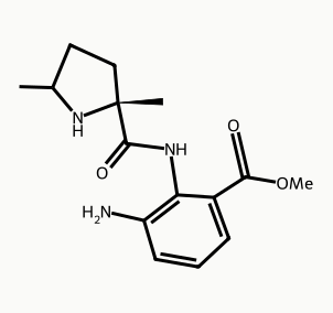 COC(=O)c1cccc(N)c1NC(=O)[C@@]1(C)CCC(C)N1